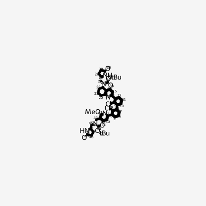 COc1nc(-c2cccc(-c3cccc(-c4ccc5c(n4)CCCC5N(C[C@@H]4CCC(=O)N4)C(=O)OC(C)(C)C)c3Cl)c2Cl)ccc1CN(CC1CCC(=O)N1)C(=O)OC(C)(C)C